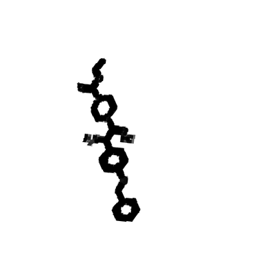 CCOC(=O)N1CCN(C(=O)C(N)c2ccc(OCc3ccccc3)cc2)CC1.Cl